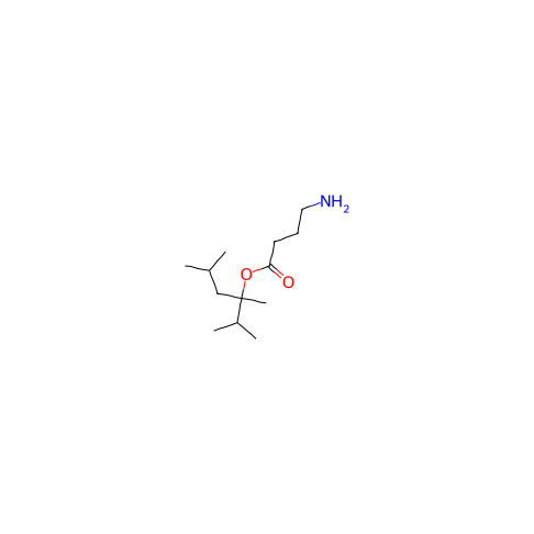 CC(C)CC(C)(OC(=O)CCCN)C(C)C